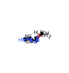 COC1CNCCC1N1CC(CC#N)(n2cc(-c3ncnc4c3ccn4COCC[Si](C)(C)C)cn2)C1